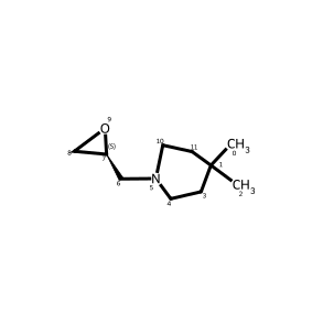 CC1(C)CCN(C[C@H]2CO2)CC1